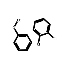 CCOc1ccccc1.Clc1ccccc1Cl